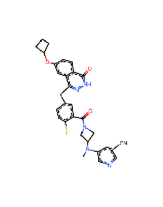 CN(c1cncc(C#N)c1)C1CN(C(=O)c2cc(Cc3n[nH]c(=O)c4ccc(OC5CCC5)cc34)ccc2F)C1